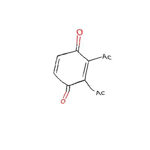 CC(=O)C1=C(C(C)=O)C(=O)C=CC1=O